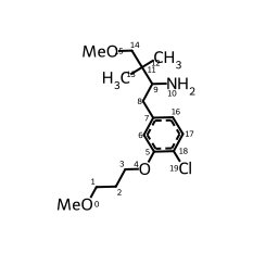 COCCCOc1cc(CC(N)C(C)(C)COC)ccc1Cl